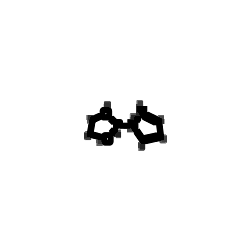 c1cnn(P2OCCO2)c1